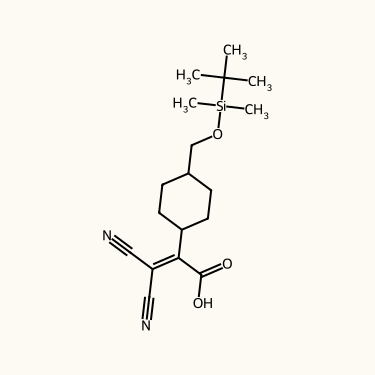 CC(C)(C)[Si](C)(C)OCC1CCC(C(C(=O)O)=C(C#N)C#N)CC1